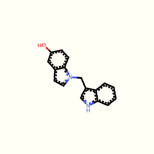 Oc1ccc2c(ccn2Cc2c[nH]c3ccccc23)c1